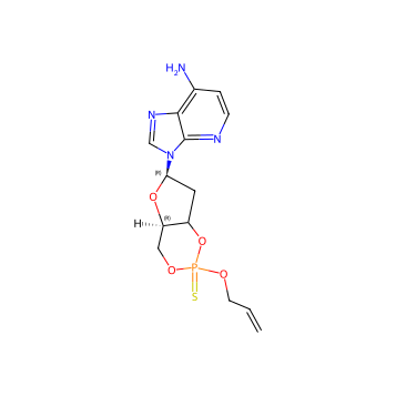 C=CCOP1(=S)OC[C@H]2O[C@@H](n3cnc4c(N)ccnc43)CC2O1